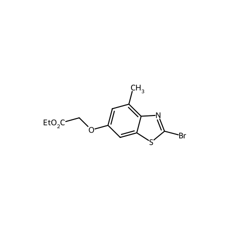 CCOC(=O)COc1cc(C)c2nc(Br)sc2c1